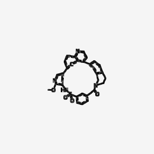 COc1ncc2cc1NS(=O)(=O)c1cccc(c1)C(=O)N1CCc3ccc(cc3C1)-c1ccnc3ccc-2cc13